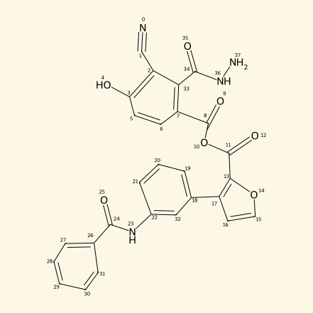 N#Cc1c(O)ccc(C(=O)OC(=O)c2occc2-c2cccc(NC(=O)c3ccccc3)c2)c1C(=O)NN